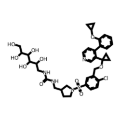 O=C(NCC1CCN(S(=O)(=O)c2ccc(Cl)c(COC3(c4cnccc4-c4ccccc4OC4CC4)CC3)c2)C1)NCC(O)C(O)C(O)C(O)CO